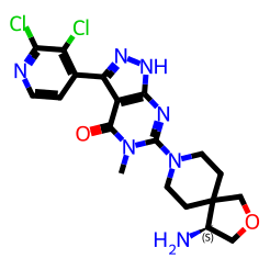 Cn1c(N2CCC3(CC2)COC[C@H]3N)nc2[nH]nc(-c3ccnc(Cl)c3Cl)c2c1=O